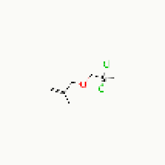 C=C(C)COC[Si](C)(Cl)Cl